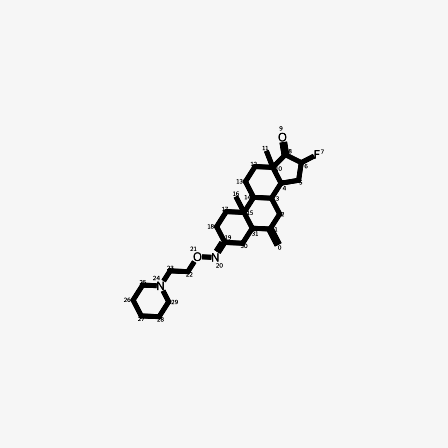 C=C1CC2C3CC(F)C(=O)C3(C)CCC2C2(C)CCC(=NOCCN3CCCCC3)CC12